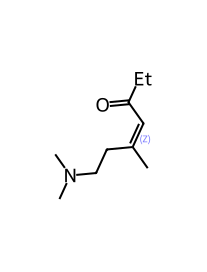 CCC(=O)/C=C(/C)CCN(C)C